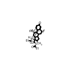 CCC(=O)O[C@]1(C(=O)SC(=O)CC)[C@H](C)CC2C3C[C@H](F)C4=CC(=O)C=C[C@]4(C)[C@@]3(F)[C@@H](O)C[C@@]21C